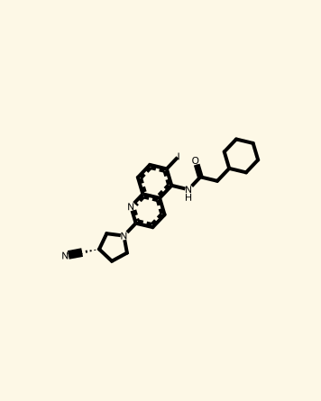 N#C[C@H]1CCN(c2ccc3c(NC(=O)CC4CCCCC4)c(I)ccc3n2)C1